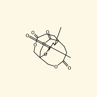 CC1CCC(=O)OCC23COC(=O)CCC1(CCC(=O)OC2)C(=O)OC3